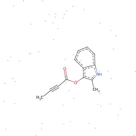 CC#CC(=O)Oc1c(C)[nH]c2ccccc12